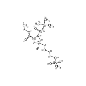 CCOC(=O)[C@@H]1C[C@](F)(COCCOS(C)(=O)=O)CN1C(=O)OC(C)(C)C